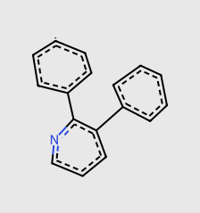 [c]1ccc(-c2ncccc2-c2ccccc2)cc1